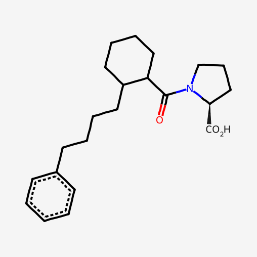 O=C(O)[C@@H]1CCCN1C(=O)C1CCCCC1CCCCc1ccccc1